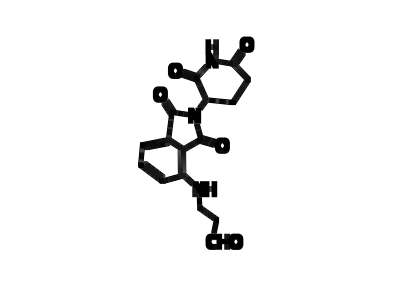 O=CCCNc1cccc2c1C(=O)N(C1CCC(=O)NC1=O)C2=O